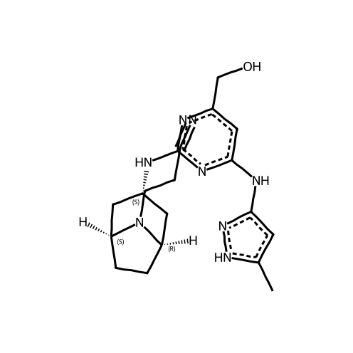 Cc1cc(Nc2cc(CO)nc(N[C@@H]3C[C@H]4CC[C@@H](C3)N4CCC#N)n2)n[nH]1